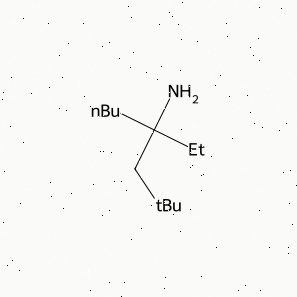 CCCCC(N)(CC)CC(C)(C)C